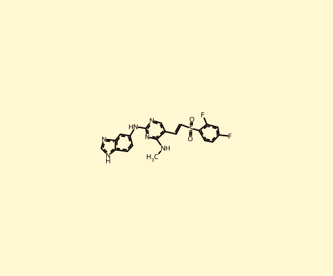 CNc1nc(Nc2ccc3[nH]cnc3c2)ncc1C=CS(=O)(=O)c1ccc(F)cc1F